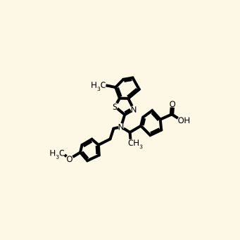 COc1ccc(CCN(c2nc3cccc(C)c3s2)C(C)c2ccc(C(=O)O)cc2)cc1